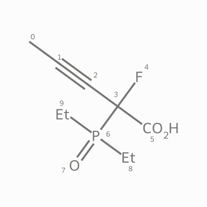 CC#CC(F)(C(=O)O)P(=O)(CC)CC